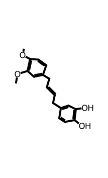 COc1ccc(CC=CCc2ccc(O)c(O)c2)cc1OC